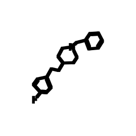 Fc1ccc(CCC2CCN(Cc3ccccc3)CC2)cc1